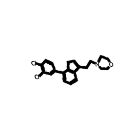 Clc1ccc(-c2cccc3c2CC=C3CCN2CCOCC2)cc1Cl